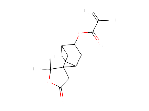 C=C(C)C(=O)OC1CC2CCC1CC21CC(=O)OC1(C)C